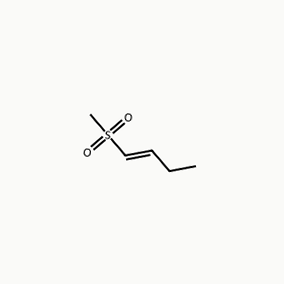 CCC=CS(C)(=O)=O